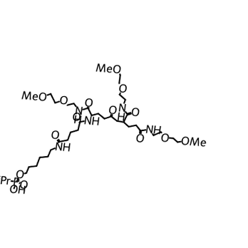 COCCOCCNC(=O)CCC(CC(=O)CCC(NC(=O)CCCC(=O)NCCCCCCOP(=O)(O)C(C)C)C(=O)NCCOCCOC)C(=O)NCCOCCOC